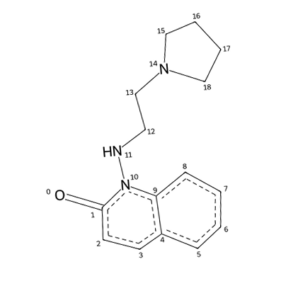 O=c1ccc2ccccc2n1NCCN1CCCC1